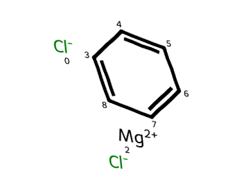 [Cl-].[Cl-].[Mg+2].c1ccccc1